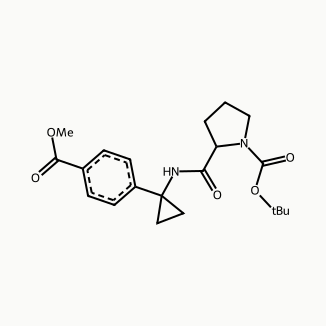 COC(=O)c1ccc(C2(NC(=O)C3CCCN3C(=O)OC(C)(C)C)CC2)cc1